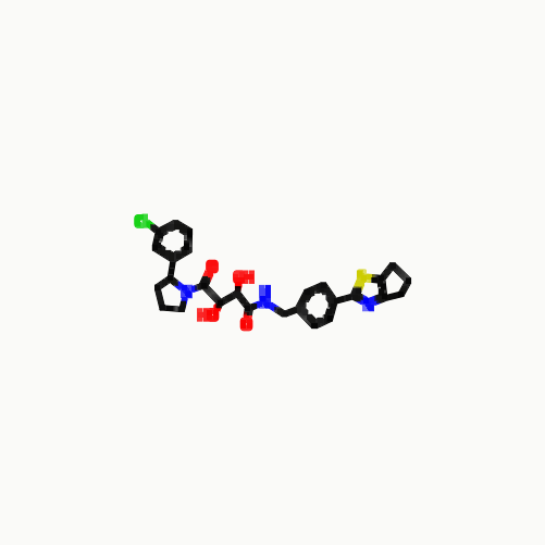 O=C(NCc1ccc(-c2nc3c(s2)CCC3)cc1)[C@H](O)[C@@H](O)C(=O)N1CCCC1c1cccc(Cl)c1